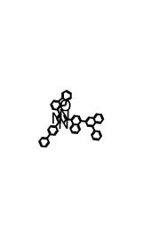 c1ccc(-c2ccc(-c3nc(-c4ccc(-c5cc(-c6ccccc6)c6ccccc6c5)c5ccccc45)nc(-c4cccc5c4oc4ccccc45)n3)cc2)cc1